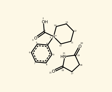 O=C(O)[N+]1(c2ccccc2)CCCCC1.O=C1CCC(=O)N1